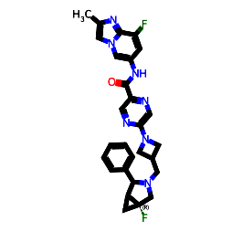 Cc1cn2cc(NC(=O)c3cnc(N4CC(CN5C[C@@]6(F)CC6C5c5ccccc5)C4)cn3)cc(F)c2n1